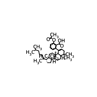 CC(=O)Oc1cccc(C2=CCC(C)(C)[C@@H]3CC[C@@H]4[C@]5(CC[C@]6(C)[C@@H]([C@H](C)CCCC(C)C)CC[C@@]46C)C[C@]235)c1C(=O)O